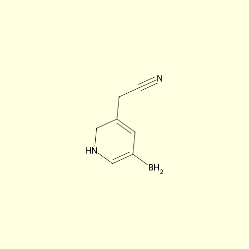 BC1=CNCC(CC#N)=C1